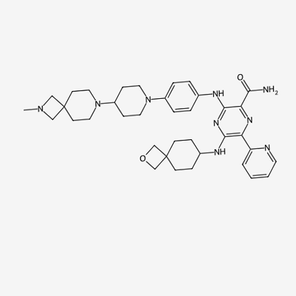 CN1CC2(CCN(C3CCN(c4ccc(Nc5nc(NC6CCC7(CC6)COC7)c(-c6ccccn6)nc5C(N)=O)cc4)CC3)CC2)C1